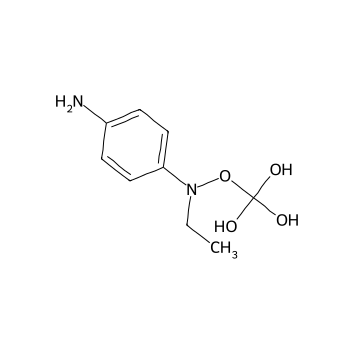 CCN(OC(O)(O)O)c1ccc(N)cc1